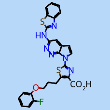 O=C(O)c1nc(-n2ccc3cc(Nc4nc5ccccc5s4)nnc32)sc1CCCOc1ccccc1F